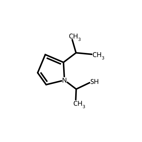 CC(C)c1cccn1C(C)S